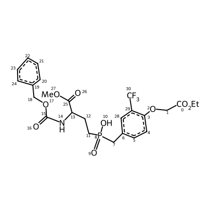 CCOC(=O)COc1ccc(CP(=O)(O)CCC(NC(=O)OCc2ccccc2)C(=O)OC)cc1C(F)(F)F